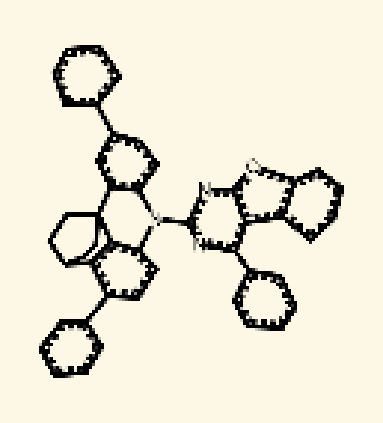 c1ccc(-c2ccc3c(c2)C24CCC(CC2)c2c(-c5ccccc5)ccc(c24)N3c2nc(-c3ccccc3)c3c(n2)oc2ccccc23)cc1